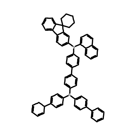 C1=CCC(c2ccc(N(c3ccc(-c4ccccc4)cc3)c3ccc(-c4ccc(N(c5ccc6c(c5)C5(CCCCC5)c5ccccc5-6)c5cccc6ccccc56)cc4)cc3)cc2)C=C1